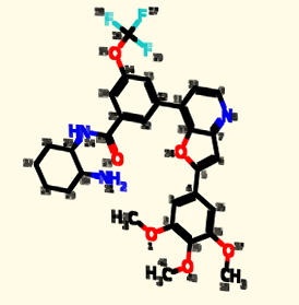 COc1cc(-c2cc3nccc(-c4cc(OC(F)(F)F)cc(C(=O)N[C@@H]5CCCC[C@@H]5N)c4)c3o2)cc(OC)c1OC